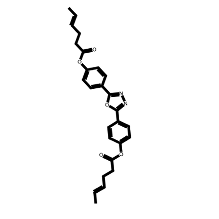 CC=CCCC(=O)Oc1ccc(-c2nnc(-c3ccc(OC(=O)CCC=CC)cc3)o2)cc1